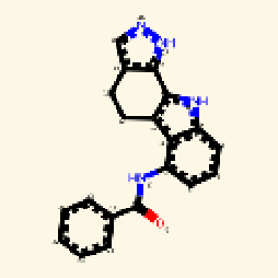 O=C(Nc1cccc2[nH]c3c(c12)CCc1cn[nH]c1-3)c1ccccc1